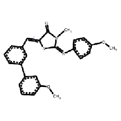 COc1ccc(/N=C2/S/C(=C\c3cccc(-c4cccc(OC)c4)c3)C(=O)N2C)cc1